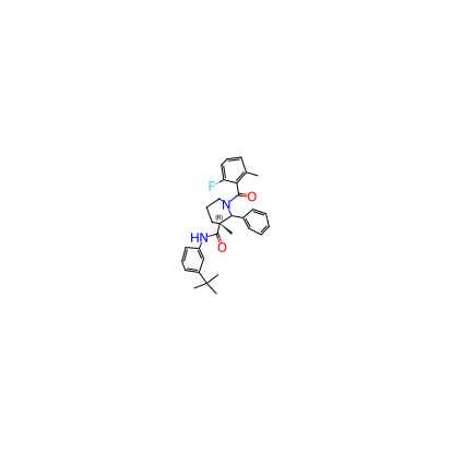 Cc1cccc(F)c1C(=O)N1CCC[C@@](C)(C(=O)Nc2cccc(C(C)(C)C)c2)C1c1ccccc1